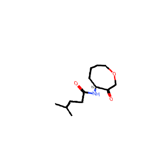 CC(C)C[CH]C(=O)N[C@H]1CCCCOCC1=O